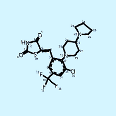 O=C1NC(=O)C(=Cc2cc(C(F)(F)F)cc(Cl)c2N2CCC(N3CCCC3)CC2)S1